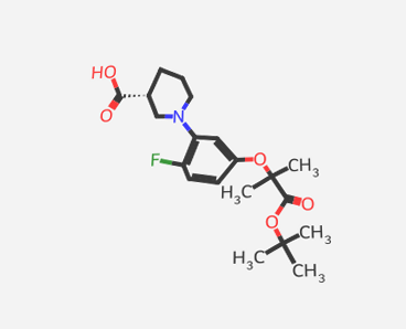 CC(C)(C)OC(=O)C(C)(C)Oc1ccc(F)c(N2CCC[C@@H](C(=O)O)C2)c1